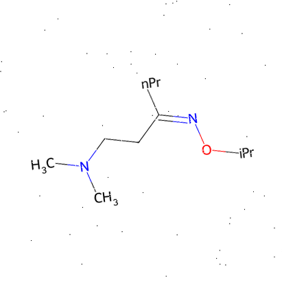 CCC/C(CCN(C)C)=N/OC(C)C